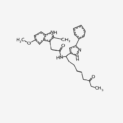 CCC(=O)CCCCCC(NC(=O)Cc1c(C)[nH]c2ccc(OC)cc12)c1cc(-c2ccccc2)n[nH]1